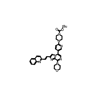 CC(C)(C)OC(=O)N1CCN(c2ccc(-c3cnc(N4CCOCC4)c4nc(/C=C/c5ccc6ccccc6n5)cn34)cn2)CC1